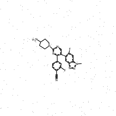 Cn1nnc2cc(-c3cnc(N4CCC(N)CC4)nc3-c3ccc(C#N)c(F)c3)c(F)cc21